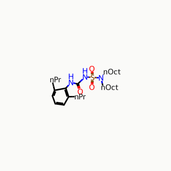 CCCCCCCCN(CCCCCCCC)S(=O)(=O)NC(=O)Nc1c(CCC)cccc1CCC